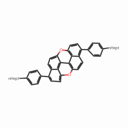 CCCCCCCc1ccc(-c2ccc3oc4ccc5c(-c6ccc(CCCCCCC)cc6)ccc6oc7ccc2c3c7-c4c65)cc1